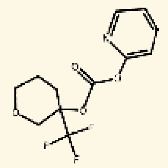 O=C(Oc1ccccn1)OC1(C(F)(F)F)CCCOC1